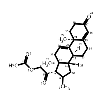 CC(=O)OCC(=O)[C@H]1C(C)C[C@H]2[C@@H]3CCC4=CC(=O)CC[C@]4(C)C3=CC[C@]12C